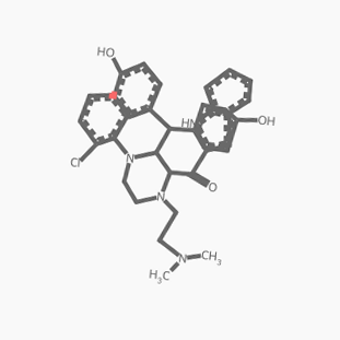 CN(C)CCN1CCN(c2ccccc2Cl)C(C(c2ccc(O)cc2)c2ccc(O)cc2)C1C(=O)c1cc2ccccc2[nH]1